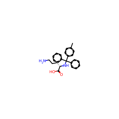 Cc1ccc(C(N[C@@H](CCCN)C(=O)O)(c2ccccc2)c2ccccc2)cc1